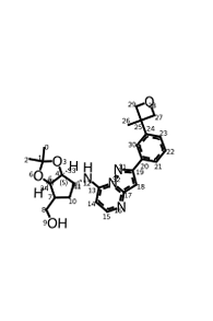 CC1(C)O[C@@H]2[C@H](O1)C(CO)C[C@H]2Nc1ccnc2cc(-c3cccc(C4(C)COC4)c3)nn12